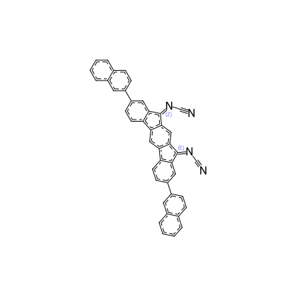 N#C/N=c1/c2cc(-c3ccc4ccccc4c3)ccc2c2cc3c(cc12)/c(=N/C#N)c1cc(-c2ccc4ccccc4c2)ccc13